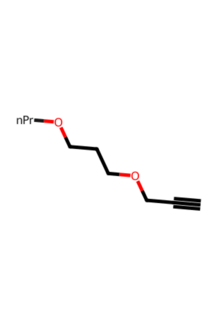 C#CCOCCCOCC[CH2]